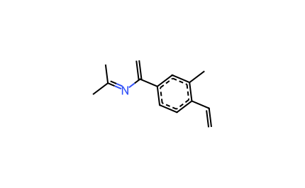 C=Cc1ccc(C(=C)N=C(C)C)cc1C